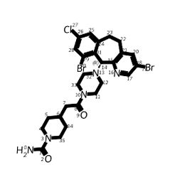 NC(=O)N1CCC(CC(=O)N2CCN([C@H]3c4ncc(Br)cc4CCc4cc(Cl)cc(Br)c43)CC2)CC1